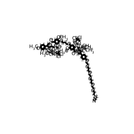 COc1ccc(C2=CN3C(=O)c4cc(OC)c(OCCCOc5cc6c(cc5OC)C(=O)N5C=C(c7ccc(OCCOCCOCCOCCOCCOCCN=[N+]=[N-])cc7)CC5C(O[Si](C)(C)C(C)(C)C)N6C(=O)OCC(Cl)(Cl)Cl)cc4N(C(=O)OCC(Cl)(Cl)Cl)C(O[Si](C)(C)C(C)(C)C)C3C2)cc1